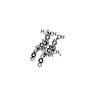 Cc1nc(N2CCC(N(C)C)CC2)nc2ccc(NC(=O)COc3ccc(Cl)cc3)nc12.Cc1nc(N2CCN(CCO)CC2)nc2ccc(NC(=O)COc3ccc(Cl)cc3)nc12